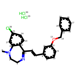 CN1CCN=C(C=Cc2cccc(OCc3ccccc3)c2)c2ccc(Cl)cc21.Cl.Cl